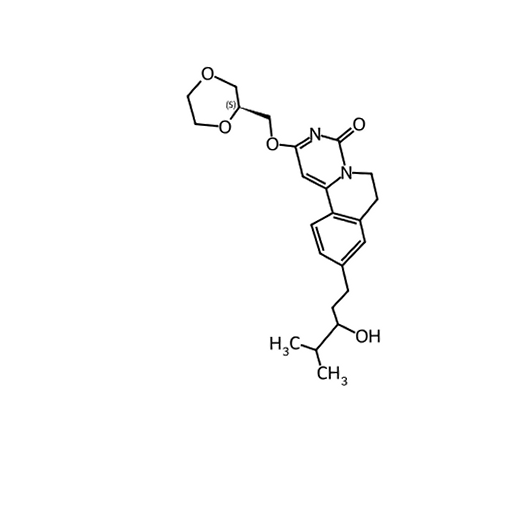 CC(C)C(O)CCc1ccc2c(c1)CCn1c-2cc(OC[C@@H]2COCCO2)nc1=O